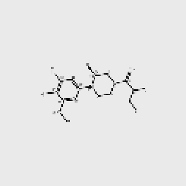 CCC(C)C(=O)N1CCN(c2cc(F)c(F)c(OC)c2)[C@@H](C)C1